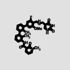 COc1cc(-c2cccc(-c3cccc(NC(=O)c4cccn(C)c4=O)c3C)c2C)cc(F)c1CNCc1c[nH]c(=O)[nH]c1=O